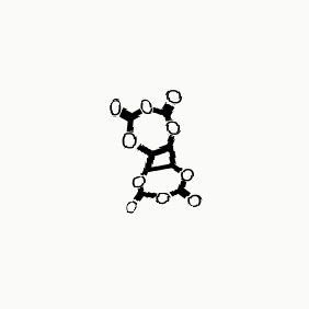 O=C1OC(=O)OC2C(O1)C1OC(=O)OC(=O)OC21